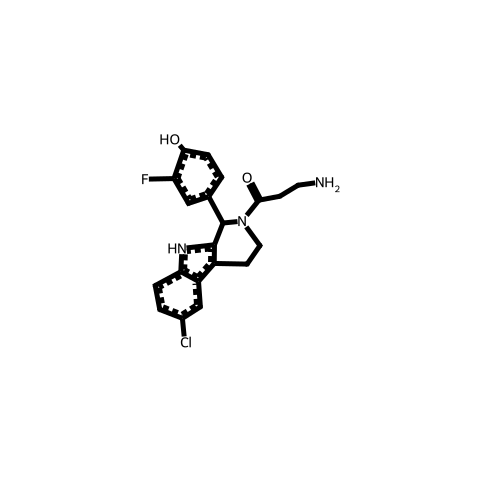 NCCC(=O)N1CCc2c([nH]c3ccc(Cl)cc23)C1c1ccc(O)c(F)c1